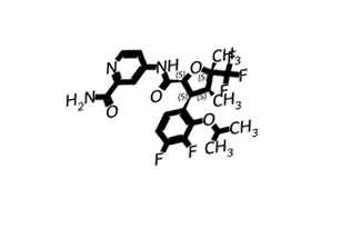 CC(C)Oc1c([C@H]2[C@@H](C(=O)Nc3ccnc(C(N)=O)c3)O[C@](C)(C(F)(F)F)[C@H]2C)ccc(F)c1F